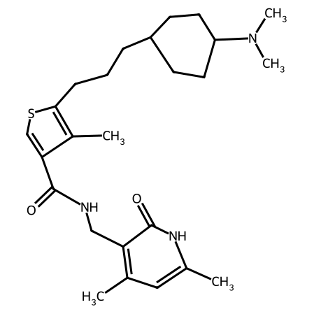 Cc1cc(C)c(CNC(=O)c2csc(CCCC3CCC(N(C)C)CC3)c2C)c(=O)[nH]1